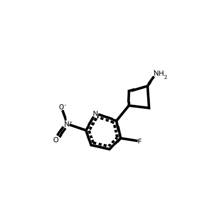 NC1CC(c2nc([N+](=O)[O-])ccc2F)C1